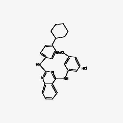 COc1cccc(Nc2nc(Nc3ccc(C4CCCCC4)cc3)nc3ccccc23)c1.Cl